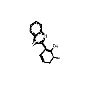 CC1CC=CC(c2nc3ccccc3s2)=C1O